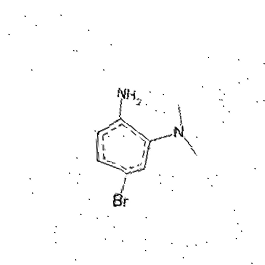 CN(C)c1cc(Br)ccc1N